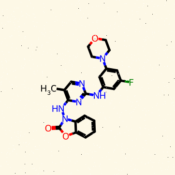 Cc1cnc(Nc2cc(F)cc(N3CCOCC3)c2)nc1Nn1c(=O)oc2ccccc21